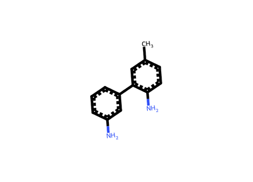 Cc1ccc(N)c(-c2cccc(N)c2)c1